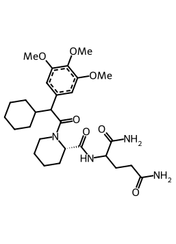 COc1cc(C(C(=O)N2CCCC[C@H]2C(=O)NC(CCC(N)=O)C(N)=O)C2CCCCC2)cc(OC)c1OC